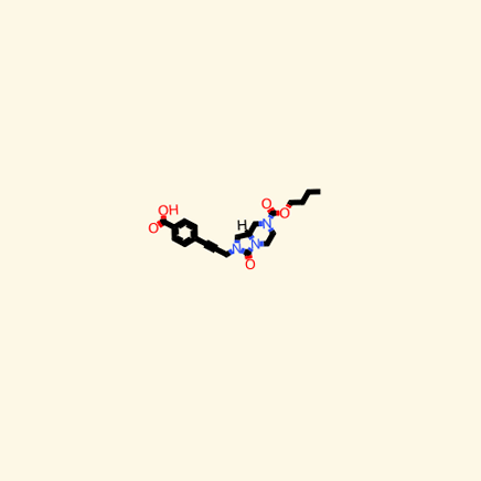 CCCCOC(=O)N1CCN2C(=O)N(CC#Cc3ccc(C(=O)O)cc3)C[C@@H]2C1